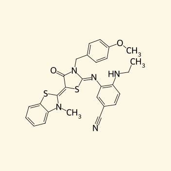 CCNc1ccc(C#N)cc1N=C1SC(=C2Sc3ccccc3N2C)C(=O)N1Cc1ccc(OC)cc1